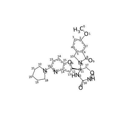 COc1ccc2c(c1)C(=O)N([C@]1(c3cc4nc(N5CCCCC5)ccc4o3)CONC(=O)N1)C2